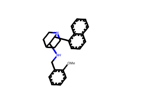 COc1ccccc1CNC1C2CCN(CC2)C1c1cccc2ccccc12